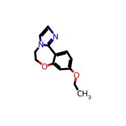 CCOc1ccc2c(c1)OCCn1ccnc1-2